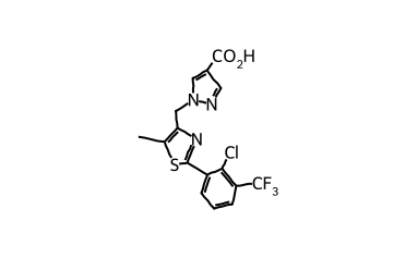 Cc1sc(-c2cccc(C(F)(F)F)c2Cl)nc1Cn1cc(C(=O)O)cn1